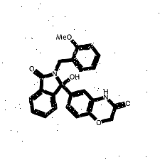 COc1ccccc1CN1C(=O)c2ccccc2C1(O)c1ccc2c(c1)NC(=O)CO2